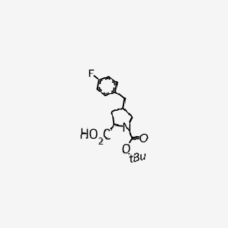 CC(C)(C)OC(=O)N1CC(Cc2ccc(F)cc2)C[C@@H]1C(=O)O